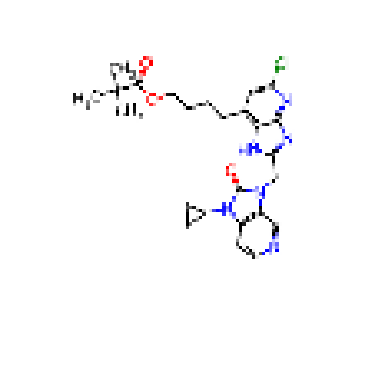 CC(C)(C)C(=O)OCCCCc1cc(Cl)nc2nc(Cn3c(=O)n(C4CC4)c4ccncc43)[nH]c12